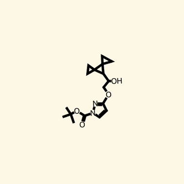 CC(C)(C)OC(=O)n1ccc(OCC(O)C2C3(CC3)C23CC3)n1